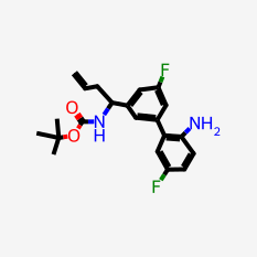 C=CCC(NC(=O)OC(C)(C)C)c1cc(F)cc(-c2cc(F)ccc2N)c1